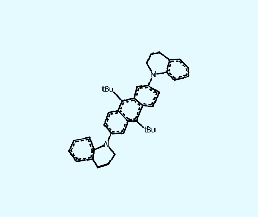 CC(C)(C)c1c2ccc(N3CCCc4ccccc43)cc2c(C(C)(C)C)c2ccc(N3CCCc4ccccc43)cc12